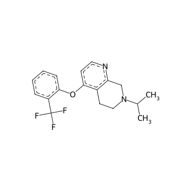 CC(C)N1CCc2c(Oc3ccccc3C(F)(F)F)ccnc2C1